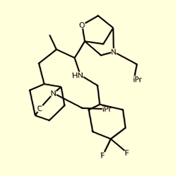 CC(C)CN1CC2(C(NCC3CCC(F)(F)CC3)C(C)CC3CC4CCC3N(CC(C)C)C4)CC1CO2